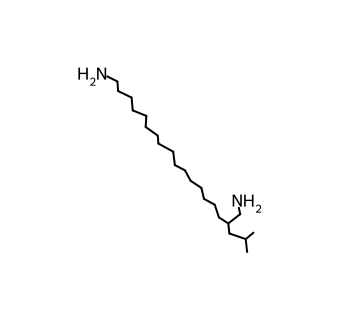 CC(C)CC(CN)CCCCCCCCCCCCCCCCN